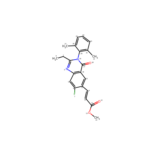 CCc1nc2cc(F)c(/C=C/C(=O)OC)cc2c(=O)n1-c1c(C)cccc1C